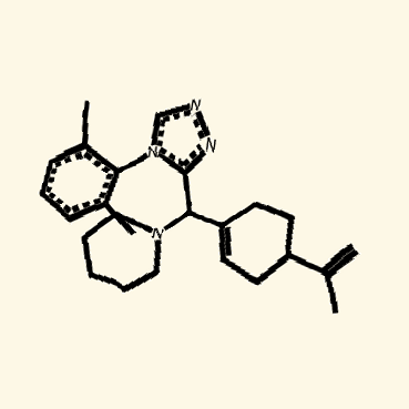 C=C(C)C1CC=C(C(c2nncn2-c2c(C)cccc2C)N2CCCCC2)CC1